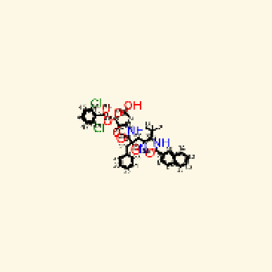 CC(C)[C@H](NC(=O)c1ccc2ccccc2c1)C1=NOC(Cc2ccccc2)(C(=O)N[C@@H](CC(=O)O)C(=O)COC(=O)c2c(Cl)cccc2Cl)C1